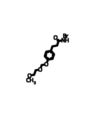 COCCOCOc1ccc(CCC(=O)NBr)cc1